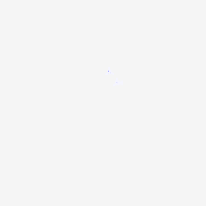 CCCCCCCCCCCCNC(CC)N(CCCC)CCCC